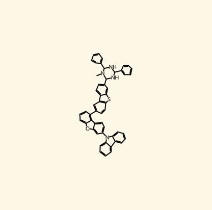 CN1C(c2ccccc2)NC(c2ccccc2)NC1c1ccc2c(c1)sc1ccc(-c3cccc4oc5cc(-n6c7ccccc7c7ccccc76)ccc5c34)cc12